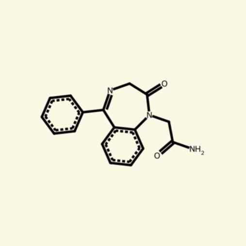 NC(=O)CN1C(=O)CN=C(c2ccccc2)c2ccccc21